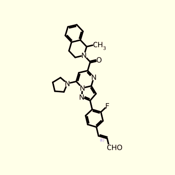 CC1c2ccccc2CCN1C(=O)c1cc(N2CCCC2)n2nc(-c3ccc(/C=C/C=O)cc3F)cc2n1